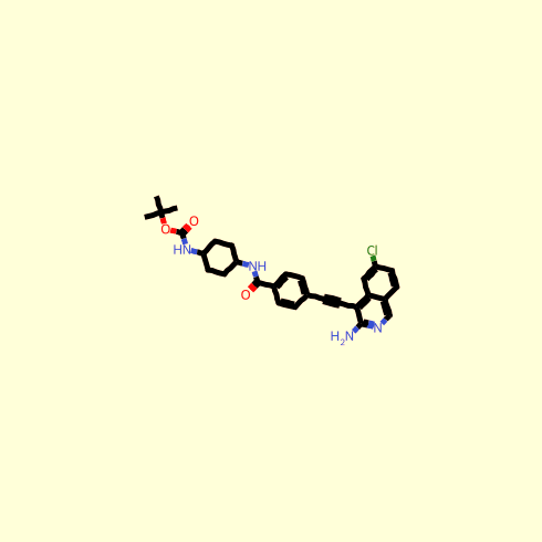 CC(C)(C)OC(=O)NC1CCC(NC(=O)c2ccc(C#Cc3c(N)ncc4ccc(Cl)cc34)cc2)CC1